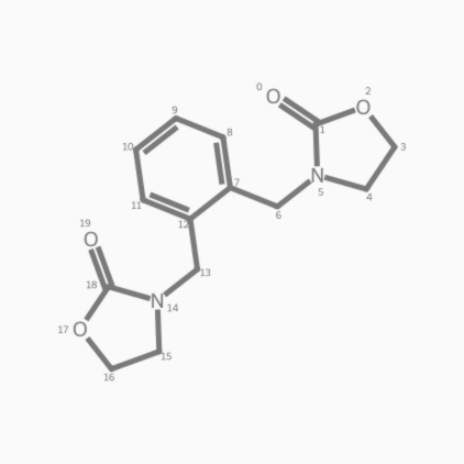 O=C1OCCN1Cc1ccccc1CN1CCOC1=O